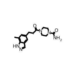 Cc1cc(C[CH]C(=O)N2CCN(C(N)=O)CC2)cc2cn[nH]c12